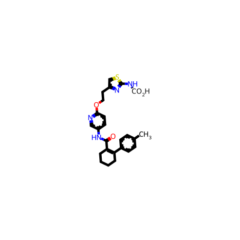 Cc1ccc(C2=C(C(=O)Nc3ccc(OCCc4csc(NC(=O)O)n4)nc3)CCCC2)cc1